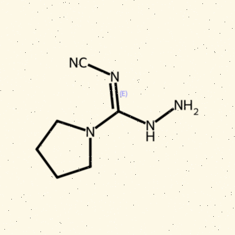 N#C/N=C(/NN)N1CCCC1